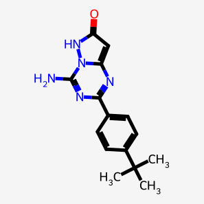 CC(C)(C)c1ccc(-c2nc(N)n3[nH]c(=O)cc3n2)cc1